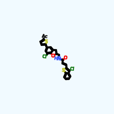 CC(=O)c1ccc(-c2cc(Cl)c3c(c2)CC(CNC(=O)/C=C/c2sc4ccccc4c2Cl)O3)s1